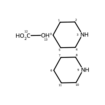 C1CCNCC1.C1CCNCC1.O=C(O)O